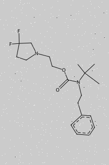 CC(C)(C)N(CCc1ccccc1)C(=O)OCCN1CCC(F)(F)C1